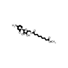 COC(=O)CCCCCCCC(=O)OCC1OC(n2ccc(N)cc2=O)C(O)C1O